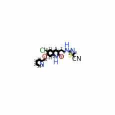 N#Cc1cnc(NCCc2cc3cc(Cl)c(OCc4ccccn4)cc3[nH]c2=O)s1